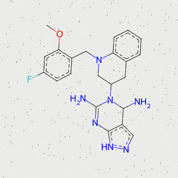 COc1cc(F)ccc1CN1CC(N2C(N)=Nc3[nH]ncc3C2N)Cc2ccccc21